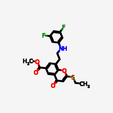 CCSc1cc(=O)c2cc(C(=O)OC)cc(CCNc3cc(F)cc(F)c3)c2o1